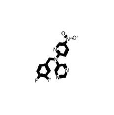 O=[N+]([O-])c1ccc(N(Cc2ccc(F)c(F)c2)c2cncnc2)nc1